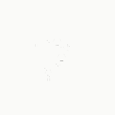 CCN1CCCc2cc(CN(C3CCCC3)S(=O)(=O)c3ccc(NCc4c[nH]cn4)cc3)ccc21